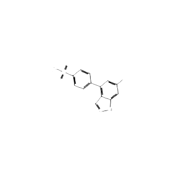 NS(=O)(=O)c1ccc(-c2cc(Cl)cc3[nH]ncc23)cc1